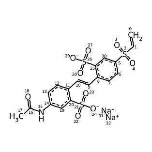 C=CS(=O)(=O)c1ccc(C=Cc2ccc(NC(C)=O)cc2S(=O)(=O)[O-])c(S(=O)(=O)[O-])c1.[Na+].[Na+]